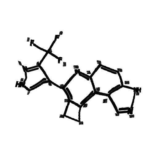 FC(F)(F)c1n[nH]cc1-c1nc2ccc3[nH]ncc3c2c2c1CC2